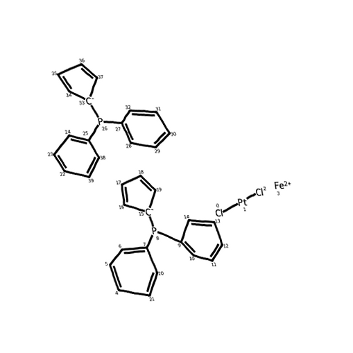 [Cl][Pt][Cl].[Fe+2].c1ccc(P(c2ccccc2)[c-]2cccc2)cc1.c1ccc(P(c2ccccc2)[c-]2cccc2)cc1